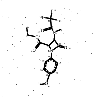 CCOC(=O)C1C(N(C)C(=O)C(F)(F)F)C(=O)N1c1ccc(OC)cc1